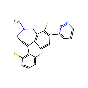 CN1CC=C(c2c(F)cccc2F)c2ccc(-c3cccnn3)c(F)c2C1